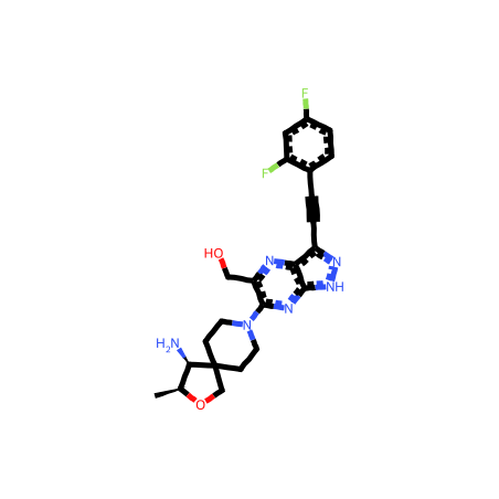 C[C@@H]1OCC2(CCN(c3nc4[nH]nc(C#Cc5ccc(F)cc5F)c4nc3CO)CC2)[C@@H]1N